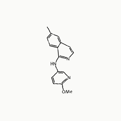 COc1ccc(Nc2nccc3cc(C)ccc23)cn1